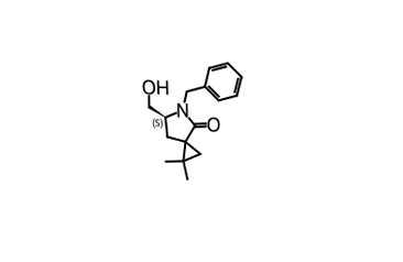 CC1(C)CC12C[C@@H](CO)N(Cc1ccccc1)C2=O